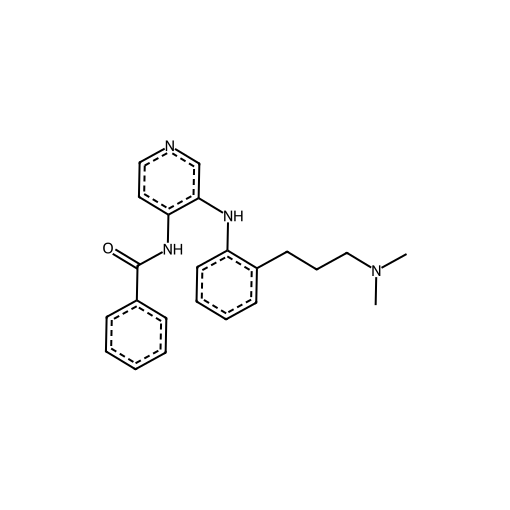 CN(C)CCCc1ccccc1Nc1cnccc1NC(=O)c1ccccc1